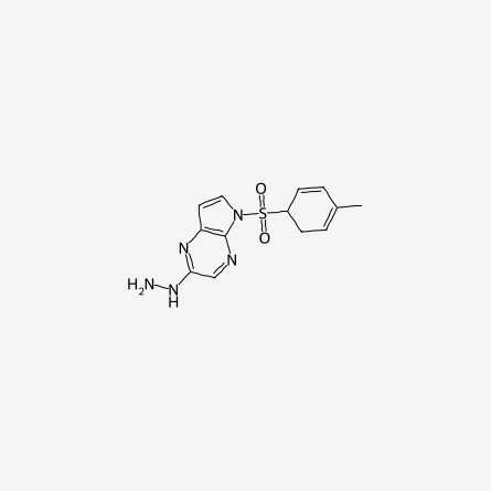 CC1=CCC(S(=O)(=O)n2ccc3nc(NN)cnc32)C=C1